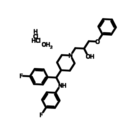 Cl.Cl.O.OC(COc1ccccc1)CN1CCC(C(Nc2ccc(F)cc2)c2ccc(F)cc2)CC1